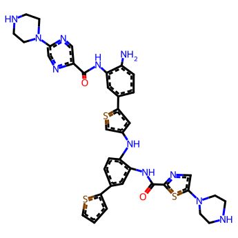 Nc1ccc(-c2cc(Nc3ccc(-c4cccs4)cc3NC(=O)c3ncc(N4CCNCC4)s3)cs2)cc1NC(=O)c1cnc(N2CCNCC2)cn1